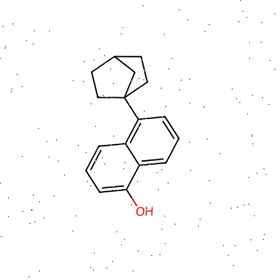 Oc1cccc2c(C34CCC(CC3)C4)cccc12